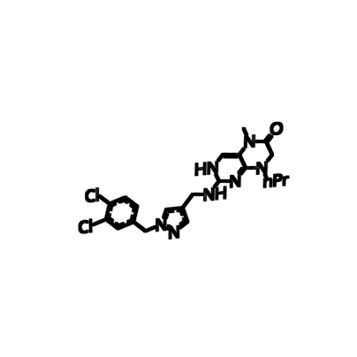 CCCN1CC(=O)N(C)C2=CNC(NCc3cnn(Cc4ccc(Cl)c(Cl)c4)c3)N=C21